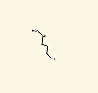 CCCC[Se][SeH]